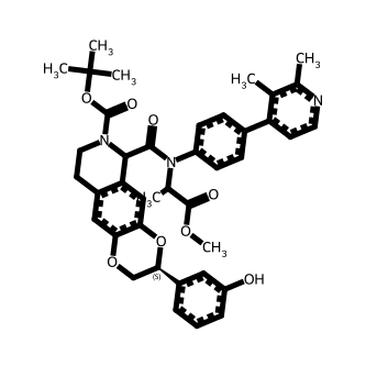 COC(=O)C(C)N(C(=O)C1c2cc3c(cc2CCN1C(=O)OC(C)(C)C)OC[C@H](c1cccc(O)c1)O3)c1ccc(-c2ccnc(C)c2C)cc1